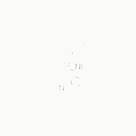 COC(=O)C(CCSC)NC(=O)c1cccc(CN)c1